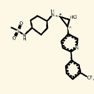 CS(=O)(=O)NC1CCC(N[C@@H]2C[C@H]2c2ccc(-c3cccc(C(F)(F)F)c3)nc2)CC1.Cl